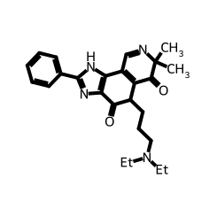 CCN(CC)CCCC1C(=O)c2nc(-c3ccccc3)[nH]c2C2=C1C(=O)C(C)(C)N=C2